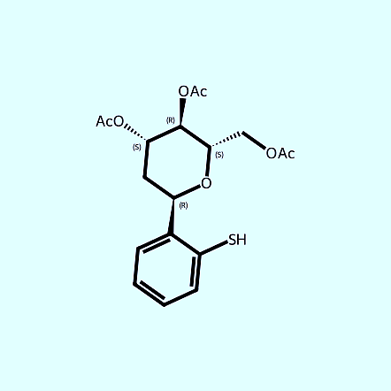 CC(=O)OC[C@@H]1O[C@@H](c2ccccc2S)C[C@H](OC(C)=O)[C@H]1OC(C)=O